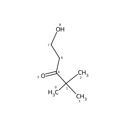 CC(C)(C)C(=O)CCO